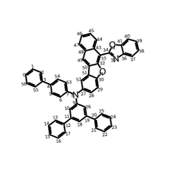 c1ccc(-c2ccc(N(c3cc(-c4ccccc4)cc(-c4ccccc4)c3)c3ccc4oc5c(-c6nc7ccccc7o6)c6ccccc6cc5c4c3)cc2)cc1